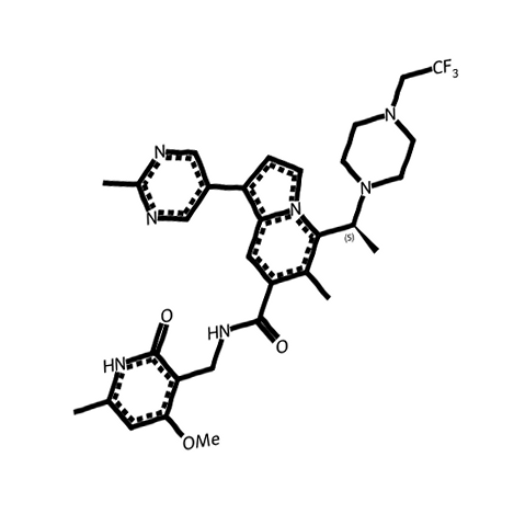 COc1cc(C)[nH]c(=O)c1CNC(=O)c1cc2c(-c3cnc(C)nc3)ccn2c([C@H](C)N2CCN(CC(F)(F)F)CC2)c1C